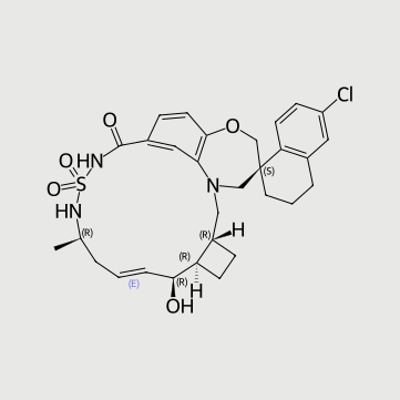 C[C@@H]1C/C=C/[C@H](O)[C@@H]2CC[C@H]2CN2C[C@@]3(CCCc4cc(Cl)ccc43)COc3ccc(cc32)C(=O)NS(=O)(=O)N1